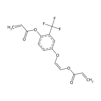 C=CC(=O)O/C=C\Oc1ccc(OC(=O)C=C)c(C(F)(F)F)c1